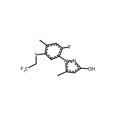 Cc1cc(F)c(-n2nc(O)cc2C)cc1SCC(F)(F)F